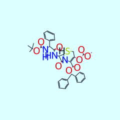 COC(=O)OC1=C(C(=O)OC(c2ccccc2)c2ccccc2)N2C(=O)[C@@H](NC(=O)C(NC(=O)OC(C)(C)C)c3ccccc3)[C@H]2SC1